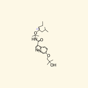 CC/C=C(\CC(C)C)OC(C)(C)NC(=O)c1cnn2cc(OCC(C)(C)O)ccc12